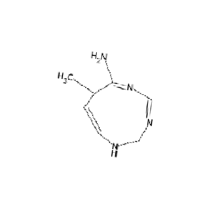 CC1/C=C\NC/N=C\N=C/1N